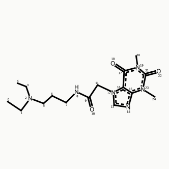 CCN(CC)CCCNC(=O)Cn1cnc2c1c(=O)n(C)c(=O)n2C